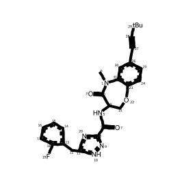 CN1C(=O)C(NC(=O)c2n[nH]c(Cc3ccccc3F)n2)COc2ccc(C#CC(C)(C)C)cc21